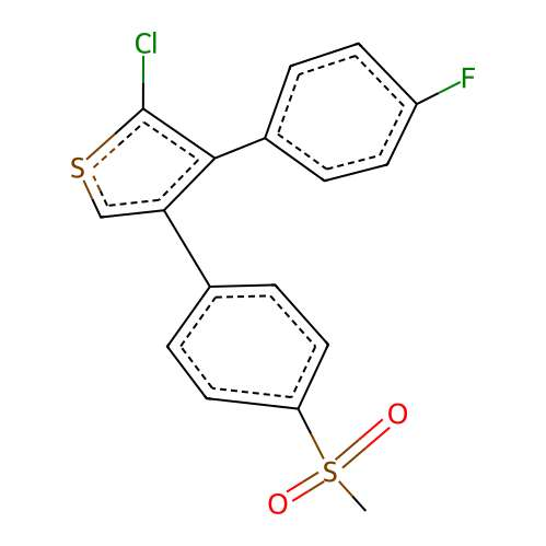 CS(=O)(=O)c1ccc(-c2csc(Cl)c2-c2ccc(F)cc2)cc1